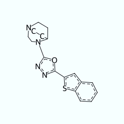 c1ccc2sc(-c3nnc(N4CCN5CCC4CC5)o3)cc2c1